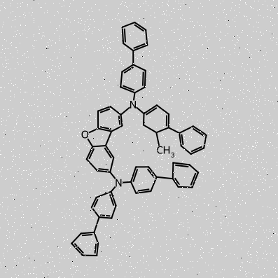 CC1CC(N(c2ccc(-c3ccccc3)cc2)c2ccc3oc4ccc(N(c5ccc(-c6ccccc6)cc5)c5ccc(-c6ccccc6)cc5)cc4c3c2)=CC=C1c1ccccc1